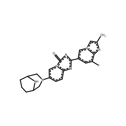 Cc1cn2cc(-c3nc(=O)n4cc(N5CC6CCCC(C5)N6)ccc4n3)cc(F)c2n1